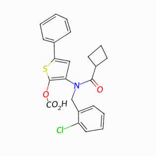 O=C(O)Oc1sc(-c2ccccc2)cc1N(Cc1ccccc1Cl)C(=O)C1CCC1